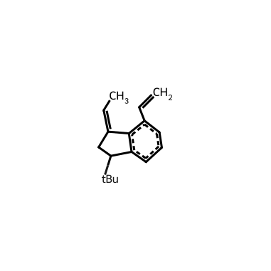 C=Cc1cccc2c1/C(=C\C)CC2C(C)(C)C